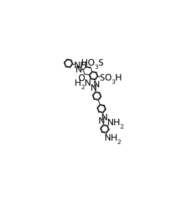 Nc1ccc(N=Nc2ccc(-c3ccc(N=Nc4c(S(=O)(=O)O)cc5c(c4N)C(=O)/C(=N/Nc4ccccc4)C(S(=O)(=O)O)=C5)cc3)cc2)c(N)c1